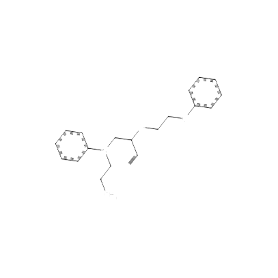 CCCN(CC(C=O)OCCOc1ccccc1)c1ccccc1